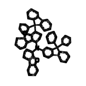 c1ccc(C2(c3ccccc3)c3ccccc3-c3ccc(N(c4cccc5c4oc4ccccc45)c4ccc(C5(c6ccccc6)c6ccccc6-c6ccccc65)c5oc6ccccc6c45)cc32)cc1